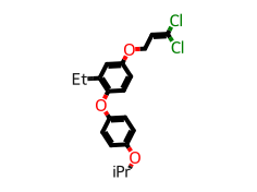 CCc1cc(OCC=C(Cl)Cl)ccc1Oc1ccc(OC(C)C)cc1